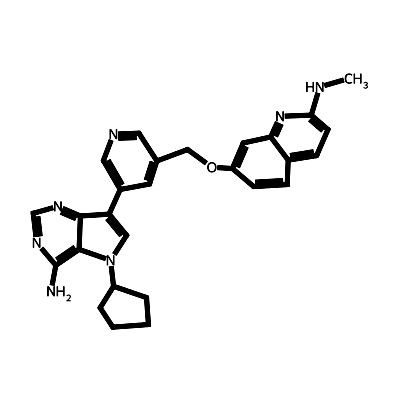 CNc1ccc2ccc(OCc3cncc(-c4cn(C5CCCC5)c5c(N)ncnc45)c3)cc2n1